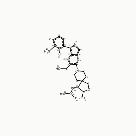 C[C@@H]1OCC2(CCN(c3nc4cnn(-c5ccnc(N)c5Cl)c4nc3CO)CC2)[C@@H]1N[S+]([O-])C(C)(C)C